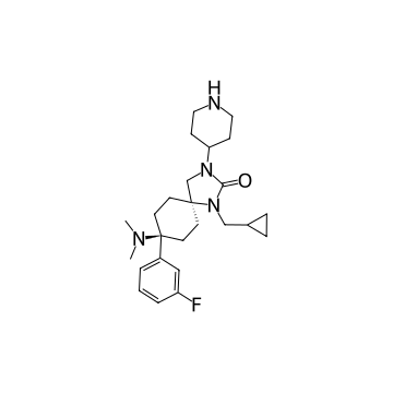 CN(C)[C@]1(c2cccc(F)c2)CC[C@]2(CC1)CN(C1CCNCC1)C(=O)N2CC1CC1